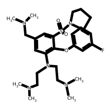 CN(C)CCN(CCN(C)C)c1cc(CN(C)C)cc(S(=O)(=O)N2CCCC2)c1Oc1cccc(F)c1